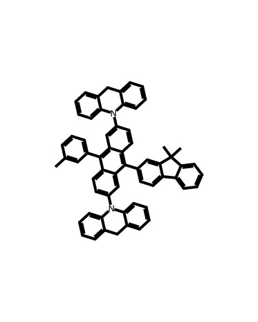 Cc1cccc(-c2c3ccc(N4c5ccccc5Cc5ccccc54)cc3c(-c3ccc4c(c3)C(C)(C)c3ccccc3-4)c3ccc(N4c5ccccc5Cc5ccccc54)cc23)c1